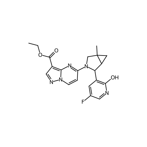 CCOC(=O)c1cnn2ccc(N3CC4(C)CC4C3c3cc(F)cnc3O)nc12